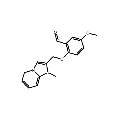 COc1ccc(OCC2=CN3CC=CC=C3N2C)c(C=O)c1